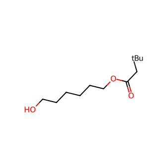 CC(C)(C)CC(=O)OCCCCCCO